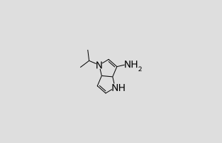 CC(C)N1C=C(N)C2NC=CC21